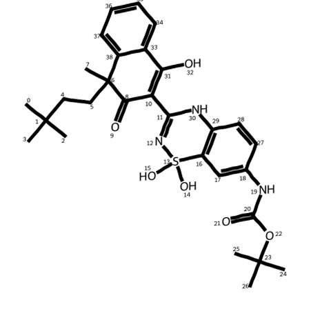 CC(C)(C)CCC1(C)C(=O)C(C2=NS(O)(O)c3cc(NC(=O)OC(C)(C)C)ccc3N2)=C(O)c2ccccc21